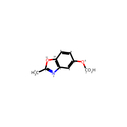 Cc1nc2cc(OC(=O)O)ccc2o1